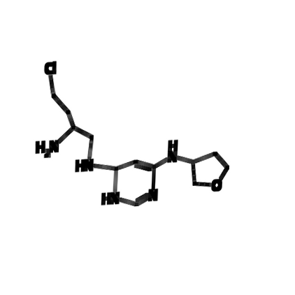 NC(CCCl)CNC1C=C(NC2CCOC2)N=CN1